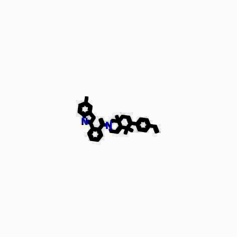 C=Cc1ccc(C2=CCC3(C)CN(C(=C)c4ccccc4C4=Nc5ccc(C)cc5C4)CC=C3C2(C)C)cc1